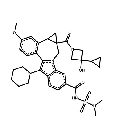 COc1ccc2c(c1)C1CC1(C(=O)N1CC(O)(C3CC3)C1)Cn1c-2c(C2CCCCC2)c2ccc(C(=O)NS(=O)(=O)N(C)C)cc21